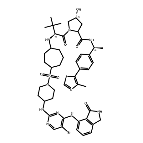 Cc1ncsc1-c1ccc([C@H](C)NC(=O)C2C[C@@H](O)CN2C(=O)[C@@H](NC2CCCC(S(=O)(=O)N3CCC(Nc4ncc(Br)c(Nc5cccc6c5C(=O)NC6)n4)CC3)CC2)C(C)(C)C)cc1